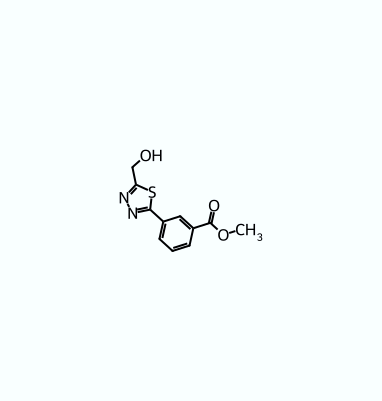 COC(=O)c1cccc(-c2nnc(CO)s2)c1